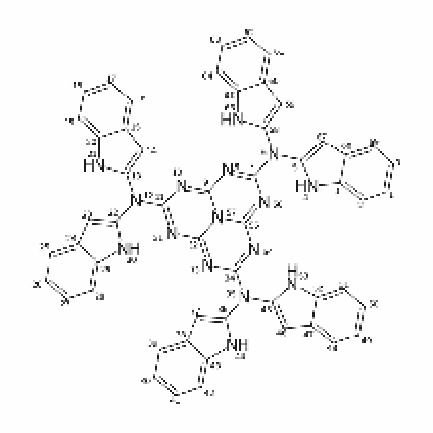 c1ccc2[nH]c(N(C3=NC4=NC(N(c5cc6ccccc6[nH]5)c5cc6ccccc6[nH]5)=NC5=NC(N(c6cc7ccccc7[nH]6)c6cc7ccccc7[nH]6)=NC(=N3)N45)c3cc4ccccc4[nH]3)cc2c1